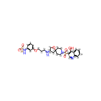 O=[SH](=O)Nc1cccc(OCCCN[C@H]2COC3(CCN(S(=O)(=O)c4cnc5ccccc5c4O)CC3)C2)c1